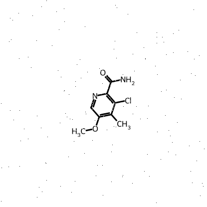 COc1cnc(C(N)=O)c(Cl)c1C